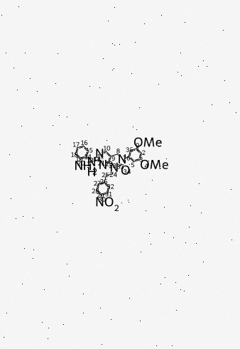 COc1cc(OC)cc(N2Cc3cnc(Nc4ccccc4N)nc3N(CCc3ccc([N+](=O)[O-])cc3)C2=O)c1